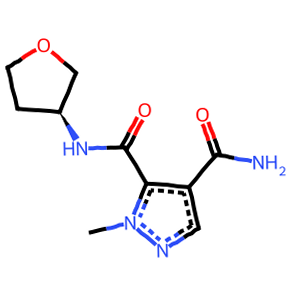 Cn1ncc(C(N)=O)c1C(=O)N[C@H]1CCOC1